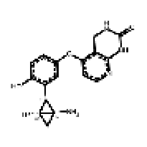 N[C@@]12C[C@H]1[C@H]2c1cc(Oc2ccnc3c2CNC(=O)N3)ccc1O